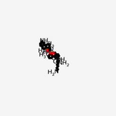 C[C@]1(C(=O)NC(=O)[C@@]2(C)CCC[C@]3(C)c4cc(NC(=O)[C@@H](N)CCCCN)ccc4CC[C@@H]23)CCC[C@]2(C)c3cc(N)ccc3CC[C@@H]12